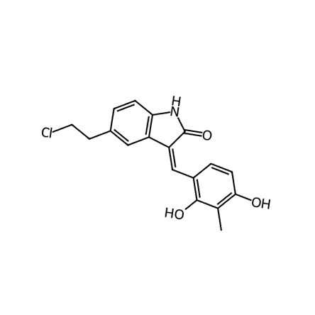 Cc1c(O)ccc(C=C2C(=O)Nc3ccc(CCCl)cc32)c1O